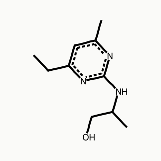 CCc1cc(C)nc(NC(C)CO)n1